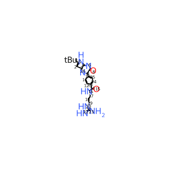 CC(C)(C)c1cc2c([nH]1)=NC(=O)C(c1ccc(C(=O)NCCCNC(=N)N)cc1)N=2